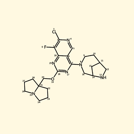 Fc1c(Cl)ncc2c(N3CCC4CNC(C4)C3)nc(OCC34CCCN3CCC4)nc12